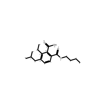 CCCCOC(=O)c1ccc(CC(C)C)c(CC)c1C(=O)O